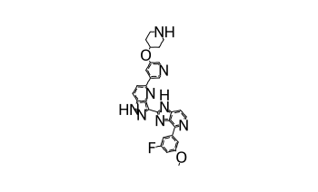 COc1cc(F)cc(-c2nccc3[nH]c(-c4n[nH]c5ccc(-c6cncc(OC7CCNCC7)c6)nc45)nc23)c1